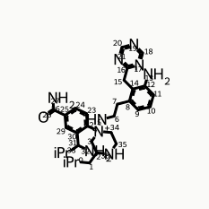 CC(C)CC1C[N+](NCCc2cccc(N)c2Cc2ncncn2)(c2ccc(C(N)=O)cc2C(N)C(C)C)CCN1